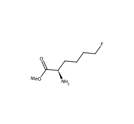 COC(=O)[C@H](N)CCCCF